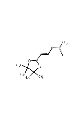 CC(I)OC=CB1OC(C)(C)C(C)(C)O1